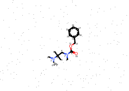 CC(C)N(C)C(C)(C)CN(C)C(=O)OCc1ccccc1